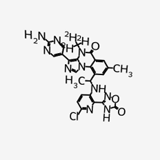 [2H]C([2H])([2H])n1c(=O)c2cc(C)cc(C(C)Nc3ccc(Cl)nc3-c3noc(=O)[nH]3)c2n2cnc(-c3cnc(N)nc3)c12